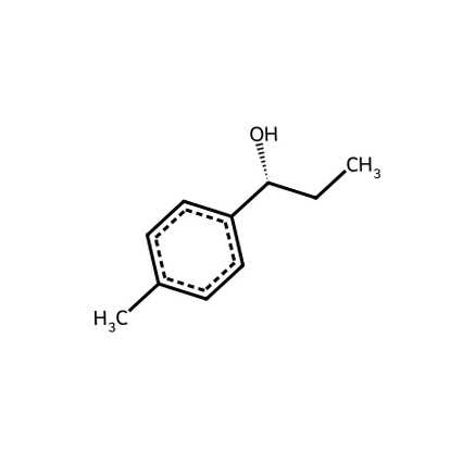 CC[C@@H](O)c1ccc(C)cc1